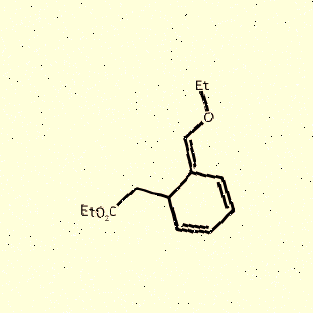 CCOC=C1C=CC=CC1CC(=O)OCC